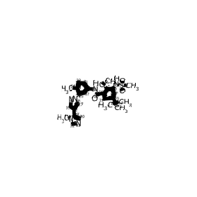 COc1c(NS(C)(=O)=O)cc(C(C)(C)C)cc1C(=O)Nc1ccc(C)c(-n2cc(-c3cncn3C)cn2)c1